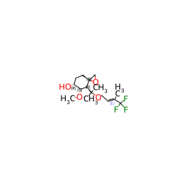 CO[C@@H]1[C@H](O)CC[C@]2(CO2)[C@H]1C(C)(C)OC/C=C(\C)C(F)(F)F